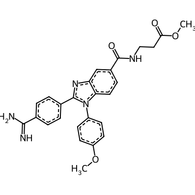 COC(=O)CCNC(=O)c1ccc2c(c1)nc(-c1ccc(C(=N)N)cc1)n2-c1ccc(OC)cc1